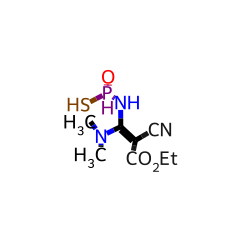 CCOC(=O)C(C#N)=C(N[PH](=O)S)N(C)C